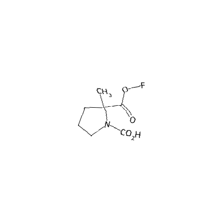 CC1(C(=O)OF)CCCN1C(=O)O